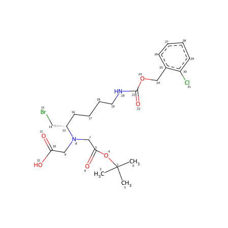 CC(C)(C)OC(=O)CN(CC(=O)O)[C@H](CBr)CCCCNC(=O)OCc1ccccc1Cl